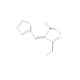 CCOC(=O)CC1=NNC(=O)C1=Cc1ccc[nH]1